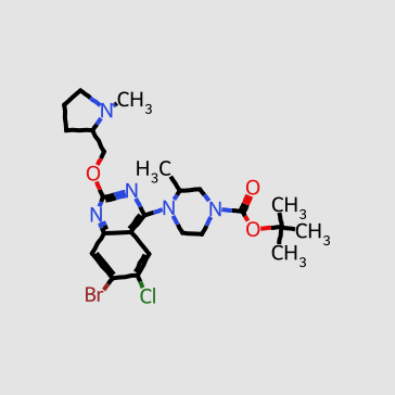 CC1CN(C(=O)OC(C)(C)C)CCN1c1nc(OCC2CCCN2C)nc2cc(Br)c(Cl)cc12